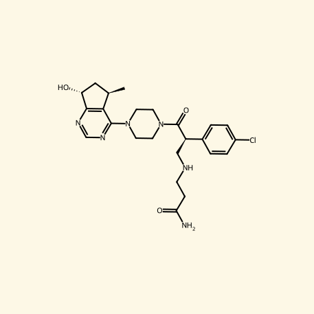 C[C@@H]1C[C@@H](O)c2ncnc(N3CCN(C(=O)[C@H](CNCCC(N)=O)c4ccc(Cl)cc4)CC3)c21